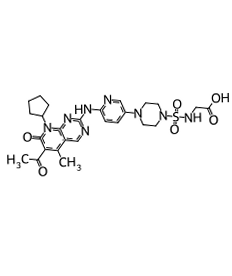 CC(=O)c1c(C)c2cnc(Nc3ccc(N4CCN(S(=O)(=O)NCC(=O)O)CC4)cn3)nc2n(C2CCCC2)c1=O